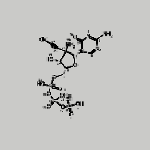 Nc1ncn([C@@H]2O[C@H](COP(=O)(O)OP(=O)(O)OP(=O)(O)O)[C@H](O)C2(N)C#CCl)c(=O)n1